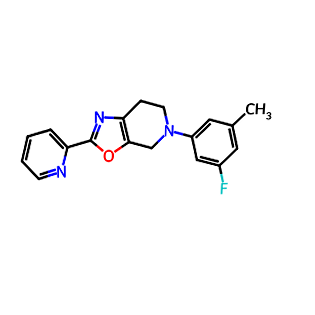 Cc1cc(F)cc(N2CCc3nc(-c4ccccn4)oc3C2)c1